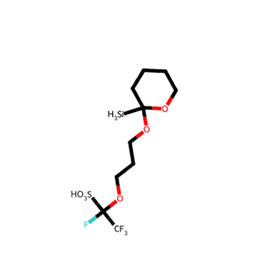 O=S(=O)(O)C(F)(OCCCOC1([SiH3])CCCCO1)C(F)(F)F